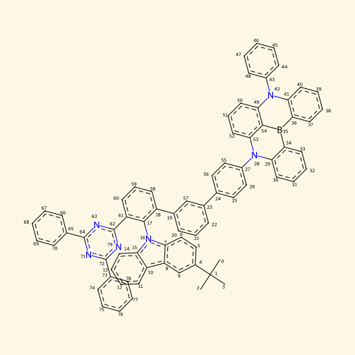 CC(C)(C)c1ccc2c(c1)c1ccccc1n2-c1c(-c2cccc(-c3ccc(N4c5ccccc5B5c6ccccc6N(c6ccccc6)c6cccc4c65)cc3)c2)cccc1-c1nc(-c2ccccc2)nc(-c2ccccc2)n1